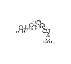 CC1(O)CCN(c2cccc3c2ccn3-c2ncc3ncnc(Nc4c(F)ccc(NS(=O)(=O)c5cccc(Cl)c5Cl)c4F)c3n2)CC1